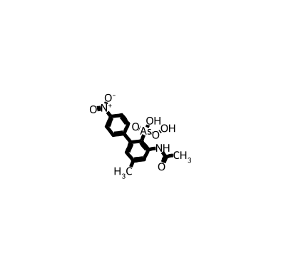 CC(=O)Nc1cc(C)cc(-c2ccc([N+](=O)[O-])cc2)c1[As](=O)(O)OO